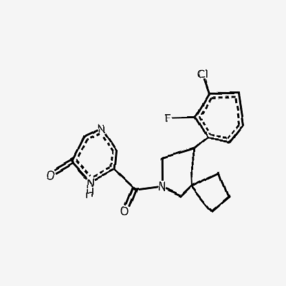 O=C(c1cncc(=O)[nH]1)N1CC(c2cccc(Cl)c2F)C2(CCC2)C1